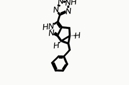 c1ccc(CC2[C@H]3c4n[nH]c(-c5nn[nH]n5)c4C[C@@H]23)cc1